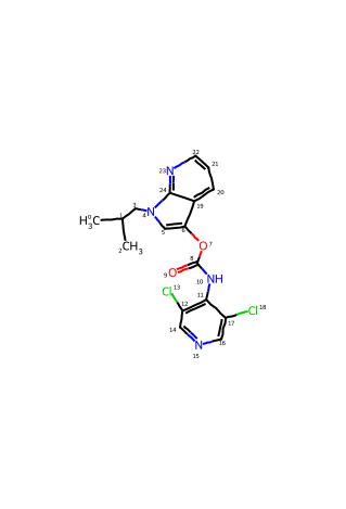 CC(C)Cn1cc(OC(=O)Nc2c(Cl)cncc2Cl)c2cccnc21